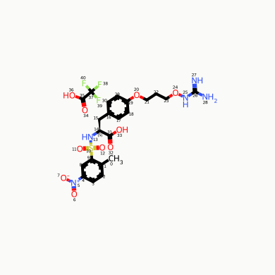 Cc1ccc([N+](=O)[O-])cc1S(=O)(=O)N[C@@H](Cc1ccc(OCCCONC(=N)N)cc1)C(=O)O.O=C(O)C(F)(F)F